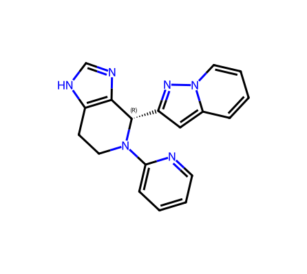 c1ccc(N2CCc3[nH]cnc3[C@@H]2c2cc3ccccn3n2)nc1